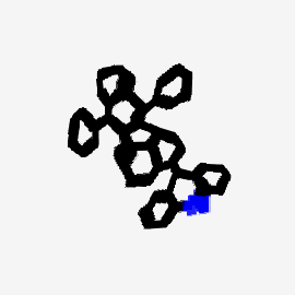 c1ccc(-c2c3c(c(-c4ccccc4)c4ccccc24)-c2ccc(-c4c5ccccc5nc5ccccc45)c4cccc-3c24)cc1